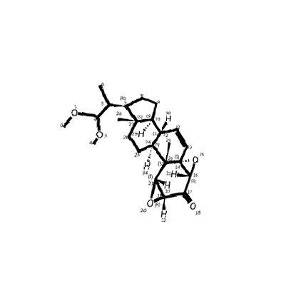 COC(OC)C(C)[C@H]1CC[C@H]2[C@@H]3C=C[C@@]45O[C@@H]4C(=O)[C@@H]4O[C@@H]4[C@]5(C)[C@H]3CC[C@]12C